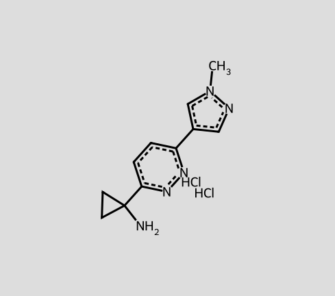 Cl.Cl.Cn1cc(-c2ccc(C3(N)CC3)nn2)cn1